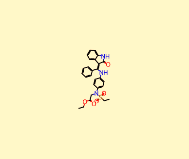 CCOC(=O)CN(c1ccc(N/C(=C2\C(=O)Nc3ccccc32)c2ccccc2)cc1)S(=O)(=O)CC